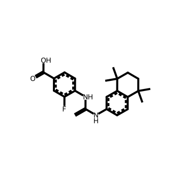 C=C(Nc1ccc2c(c1)C(C)(C)CCC2(C)C)Nc1ccc(C(=O)O)cc1F